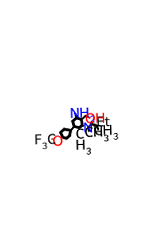 CC/C(C)=C/N(C)c1c(C)c(-c2ccc(OC(F)(F)F)cc2)cc(N)c1CO